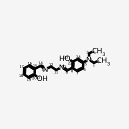 CCN(CC)c1ccc(C=NCCN=Cc2ccccc2O)c(O)c1